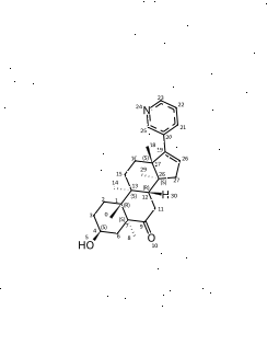 C[C@]12CC[C@H](O)C[C@]1(C)C(=O)C[C@@H]1[C@]2(C)CC[C@]2(C)C(c3cccnc3)=CC[C@@]12C